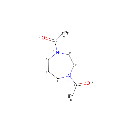 CCCC(=O)N1CCCN(C(=O)C(C)C)CC1